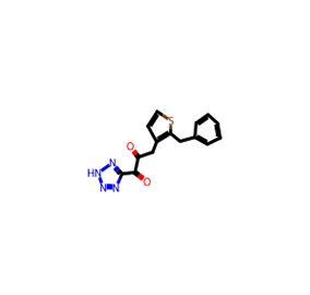 O=C(Cc1ccsc1Cc1ccccc1)C(=O)c1nn[nH]n1